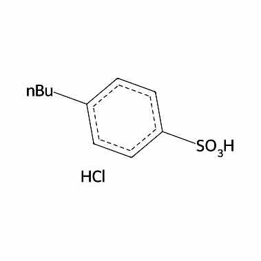 CCCCc1ccc(S(=O)(=O)O)cc1.Cl